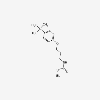 CC(C)(C)OC(=O)NCCCOc1ccc([Si](C)(C)C)cc1